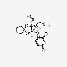 C#C[C@]1(CC)O[C@@H](n2ccc(=O)[nH]c2=O)[C@@H]2OC3(CCCC3)O[C@@H]21